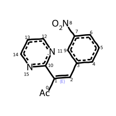 CC(=O)/C(=C/c1cccc([N+](=O)[O-])c1)c1ncccn1